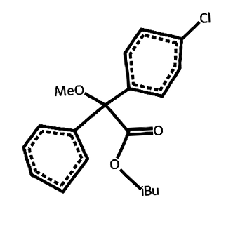 CCC(C)OC(=O)C(OC)(c1ccccc1)c1ccc(Cl)cc1